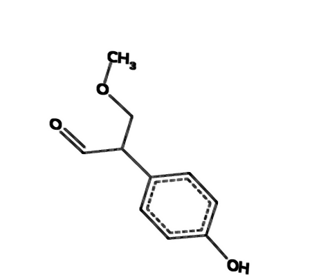 COCC(C=O)c1ccc(O)cc1